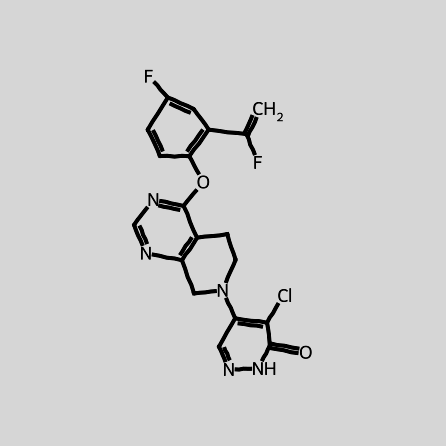 C=C(F)c1cc(F)ccc1Oc1ncnc2c1CCN(c1cn[nH]c(=O)c1Cl)C2